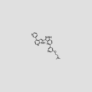 CN(C)CCOc1cncc(-c2ccc3[nH]nc(-c4cc5c(-c6cccnc6)ccnc5[nH]4)c3n2)c1